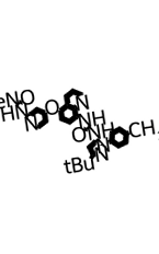 CNC(=O)Nc1cc(Oc2ccc(NC(=O)Nc3cc(C(C)(C)C)nn3-c3ccc(C)cc3)c3ncccc23)ccn1